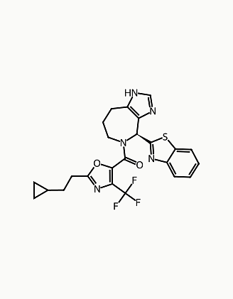 O=C(c1oc(CCC2CC2)nc1C(F)(F)F)N1CCCc2[nH]cnc2[C@H]1c1nc2ccccc2s1